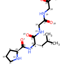 CC(C)C[C@H](NC(=O)[C@@H]1CCCN1)C(=O)NCC(=O)NCC(=O)O